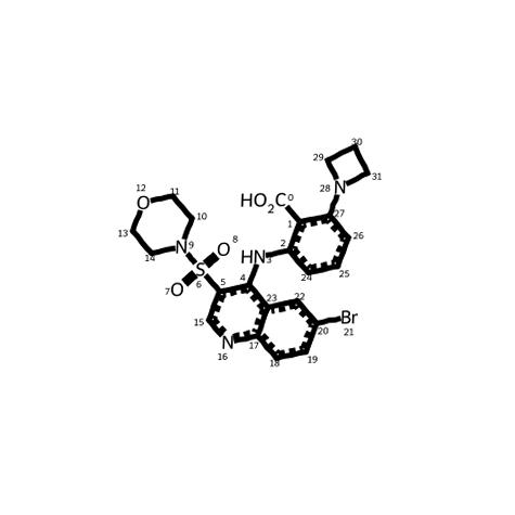 O=C(O)c1c(Nc2c(S(=O)(=O)N3CCOCC3)cnc3ccc(Br)cc23)cccc1N1CCC1